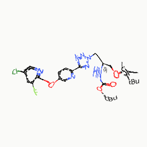 CC(C)(C)OC(=O)N[C@H](CO[Si](C)(C)C(C)(C)C)Cn1nnc(-c2ccc(Oc3ncc(Cl)cc3F)cn2)n1